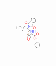 O=C(O)C(C1NC(C(=O)OCc2ccccc2)C2(COC2)S1)N1C(=O)c2ccccc2C1=O